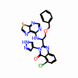 O=c1c2c(Cl)cccc2nc(C(COCc2ccccc2)Nc2ncnc3scnc23)n1-c1cn[nH]c1